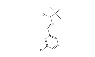 CC(C)(C)[S@@+]([O-])/N=C/c1cncc(Cl)c1